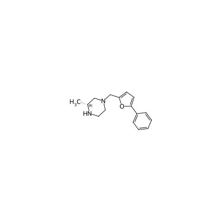 C[C@@H]1CN(Cc2ccc(-c3ccccc3)o2)CCN1